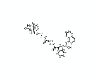 N#C/C(=C\c1cccc2cnccc12)c1cn(C(=O)CCNC(=O)CCCC[C@H]2SC[C@H]3NC(=O)N[C@H]32)c2ccccc12